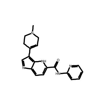 CN1CC=C(c2cnc3ccc(C(=O)Nc4ccccn4)[nH]c2-3)CC1